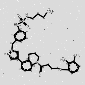 Cc1cccc(OCCCC(=O)N2CCCc3c(-c4cnn(Cc5cccc(NS(=O)(=O)NCCCC(=O)O)c5)c4)cccc32)c1C